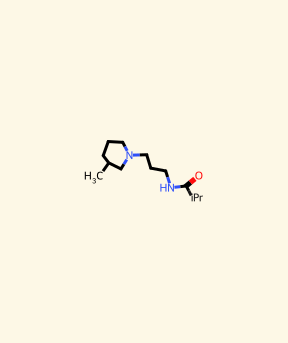 CC1CCCN(CCCNC(=O)C(C)C)C1